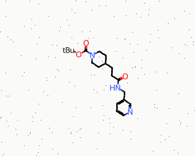 CC(C)(C)OC(=O)N1CCC(CCC(=O)NCc2cccnc2)CC1